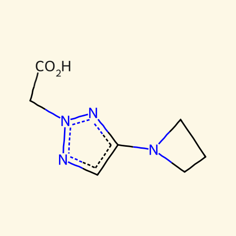 O=C(O)Cn1ncc(N2CCC2)n1